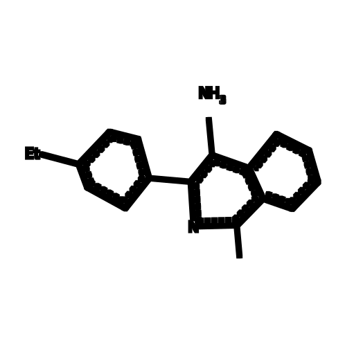 CCc1ccc(-c2nc(C)c3ccccc3c2C)cc1.N